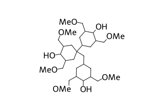 COCC1CC(CC2(C3CC(COC)C(O)C(COC)C3)CC(COC)C(O)C(COC)C2)CC(COC)C1O